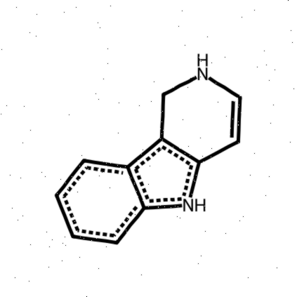 C1=Cc2[nH]c3ccccc3c2CN1